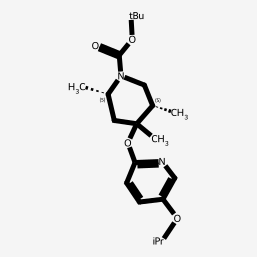 CC(C)Oc1ccc(OC2(C)C[C@H](C)N(C(=O)OC(C)(C)C)C[C@@H]2C)nc1